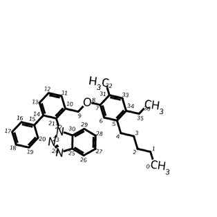 CCCCCc1cc(OCc2cccc(-c3ccccc3)c2-n2nnc3ccccc32)c(C)cc1CC